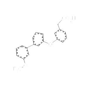 O=C(O)Cc1cccc(Oc2cccc(-c3cccc(OC(F)(F)F)c3)c2)c1